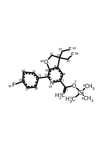 C=C(O[Si](C)(C)C)c1cc2c(c(-c3ccc(F)cc3)n1)OCC2(CF)CF